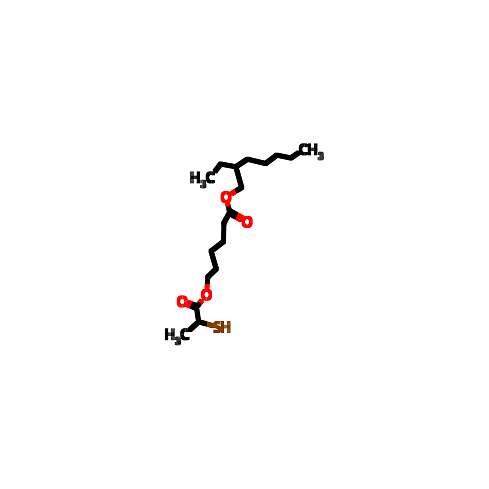 CCCCCC(CC)COC(=O)CCCCCOC(=O)C(C)S